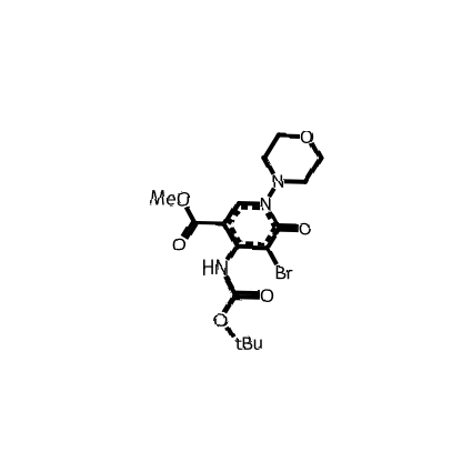 COC(=O)c1cn(N2CCOCC2)c(=O)c(Br)c1NC(=O)OC(C)(C)C